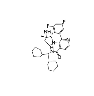 C[C@]1(N)CCN(c2c(C(=O)NC(C3CCCCC3)C3CCCCC3)ccnc2-c2cc(F)cc(F)c2)C1